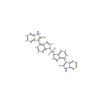 Cc1[nH]c2ccccc2c1-c1cccc2c1C=CC2[Si](C)(C)C1C=Cc2c(-c3c(C)[nH]c4ccccc34)cccc21